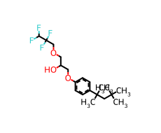 CC(C)(C)CC(C)(C)c1ccc(OCC(O)COCC(F)(F)C(F)F)cc1